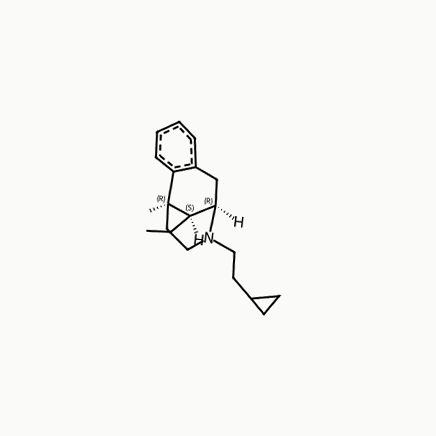 CC[C@@H]1[C@H]2Cc3ccccc3[C@]1(C)CCN2CCC1CC1